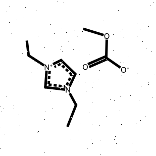 CCn1cc[n+](CC)c1.COC(=O)[O-]